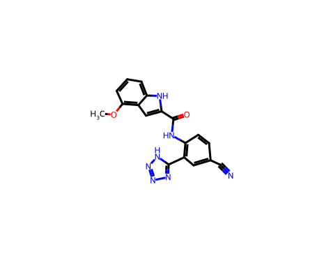 COc1cccc2[nH]c(C(=O)Nc3ccc(C#N)cc3-c3nnn[nH]3)cc12